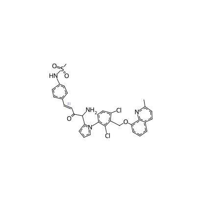 Cc1ccc2cccc(OCc3c(Cl)ccc(-n4cccc4C(N)C(=O)/C=C/c4ccc(NS(C)(=O)=O)cc4)c3Cl)c2n1